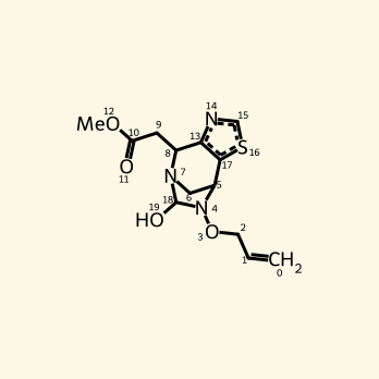 C=CCON1C2CN(C(CC(=O)OC)c3ncsc32)C1O